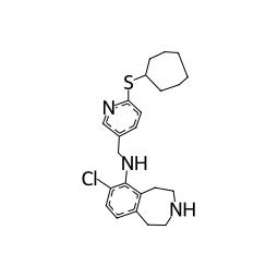 Clc1ccc2c(c1NCc1ccc(SC3CCCCCC3)nc1)CCNCC2